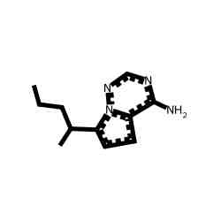 CCCC(C)c1ccc2c(N)ncnn12